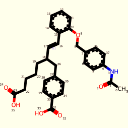 CC(=O)Nc1ccc(COc2ccccc2/C=C/C(CCCCC(=O)O)Cc2ccc(C(=O)O)cc2)cc1